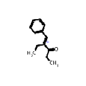 CCC(=O)/C(=C/c1ccccc1)CC